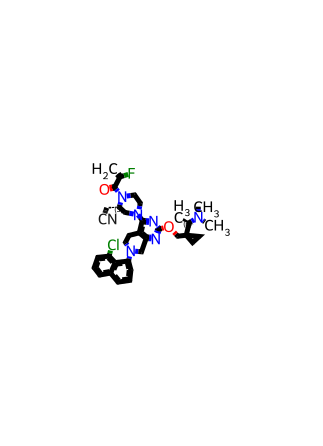 C=C(F)C(=O)N1CCN(c2nc(OCC3([C@@H](C)N(C)C)CC3)nc3c2CCN(c2cccc4cccc(Cl)c24)C3)C[C@@H]1CC#N